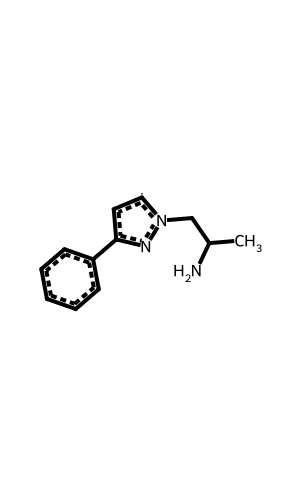 CC(N)Cn1[c]cc(-c2ccccc2)n1